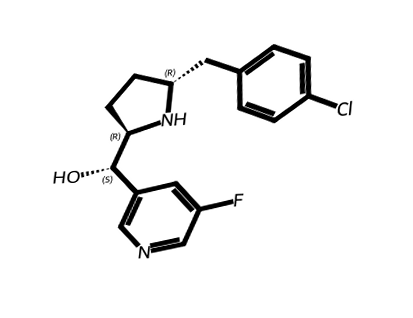 O[C@@H](c1cncc(F)c1)[C@H]1CC[C@H](Cc2ccc(Cl)cc2)N1